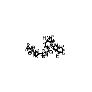 O=C(c1nnc(-c2cnn(S(=O)(=O)C3CC3)c2)o1)N1CCc2[nH]cnc2C1c1cc2c(F)cccn2n1